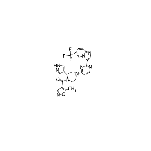 Cc1oncc1C(=O)N1CCN(c2ccnc(-c3cnc4ccc(C(F)(F)F)cn34)n2)C[C@@H]1c1cn[nH]c1